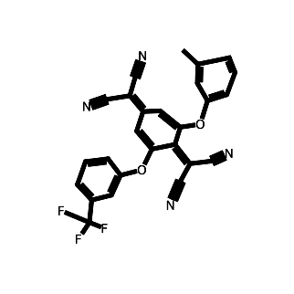 Cc1cccc(Oc2cc(=C(C#N)C#N)cc(Oc3cccc(C(F)(F)F)c3)c2=C(C#N)C#N)c1